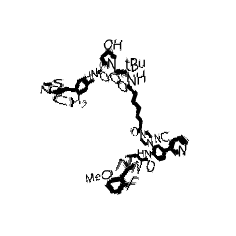 COc1cccc(F)c1-c1nccc(C(=O)Nc2ccc(-c3cnccc3C#N)cc2N2CCN(C(=O)CCCCCC(=O)N[C@H](C(=O)N3C[C@H](O)C[C@H]3C(=O)NCc3ccc(-c4scnc4C)cc3)C(C)(C)C)CC2)n1